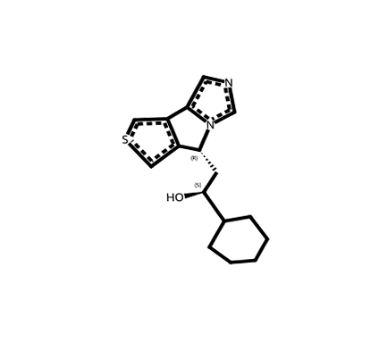 O[C@@H](C[C@@H]1c2cscc2-c2cncn21)C1CCCCC1